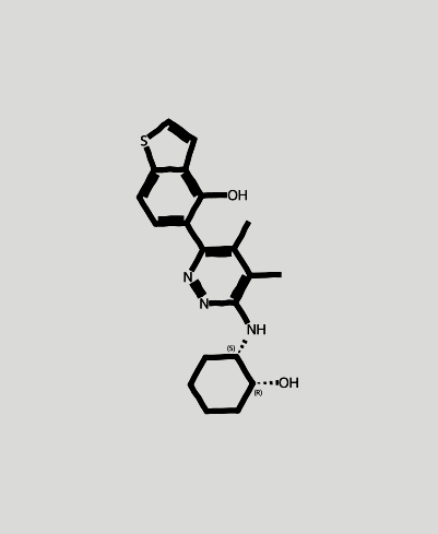 Cc1c(N[C@H]2CCCC[C@H]2O)nnc(-c2ccc3sccc3c2O)c1C